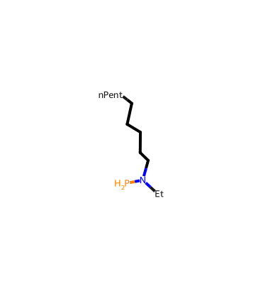 CCCCCCCCCCN(P)CC